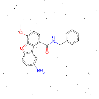 COc1ccc(C(=O)NCc2ccccc2)c2c1oc1ccc(N)cc12